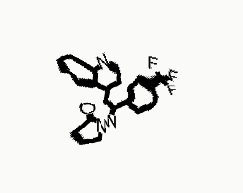 O=C1CCCN1/N=C(\Cc1ccnc2ccccc12)c1ccc(C(F)(F)F)cc1